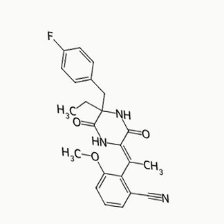 CCC1(Cc2ccc(F)cc2)NC(=O)C(=C(C)c2c(C#N)cccc2OC)NC1=O